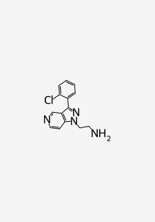 NCCn1nc(-c2ccccc2Cl)c2cnccc21